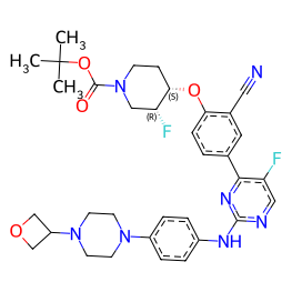 CC(C)(C)OC(=O)N1CC[C@H](Oc2ccc(-c3nc(Nc4ccc(N5CCN(C6COC6)CC5)cc4)ncc3F)cc2C#N)[C@H](F)C1